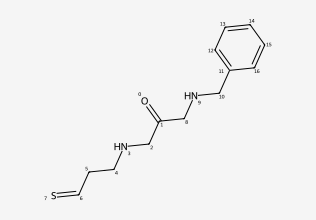 O=C(CNCCC=S)CNCc1ccccc1